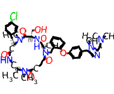 C[C@H]1CNC(=O)C[C@H](Cc2ccc(Cl)cc2)N(C)C(=O)[C@H](CO)NC(=O)[C@H](C)N(Cc2ccccc2Oc2ccc(-c3cnc(CN(C)C)n3C)cc2)C(=O)CCC(=O)N1C